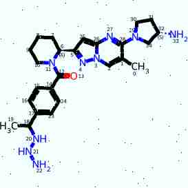 Cc1cn2nc([C@@H]3CCCCN3C(=O)c3ccc(C(C)NNN)cc3)cc2nc1N1CC[C@H](N)C1